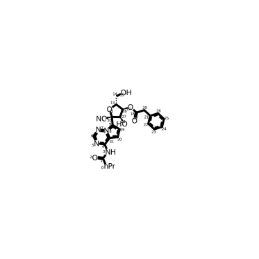 CCCC(=O)Nc1ncnn2c([C@]3(C#N)O[C@H](CO)[C@@H](OC(=O)Cc4ccccc4)[C@H]3O)ccc12